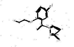 CC(c1cc(F)ccc1OCCF)n1ccc(I)n1